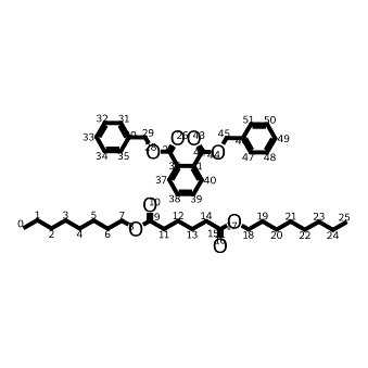 CCCCCCCCOC(=O)CCCCC(=O)OCCCCCCCC.O=C(OCc1ccccc1)c1ccccc1C(=O)OCc1ccccc1